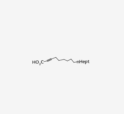 CCCCCCCCCCCCCC#CC(=O)O